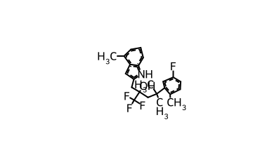 Cc1ccc(F)cc1C(C)(C)CC(O)(Cc1cc2c(C)cccc2[nH]1)C(F)(F)F